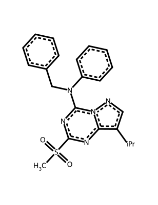 CC(C)c1cnn2c(N(Cc3ccccc3)c3ccccc3)nc(S(C)(=O)=O)nc12